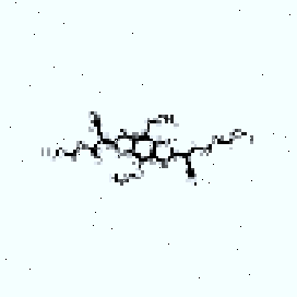 CCOOC/C(C#N)=C1\Sc2c(CC)c3c(c(OC)c2S1)S/C(=C(/C#N)C(=O)OCC)S3